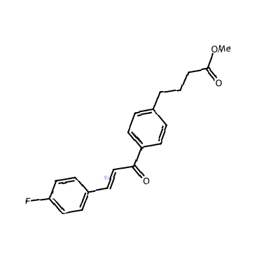 COC(=O)CCCc1ccc(C(=O)/C=C/c2ccc(F)cc2)cc1